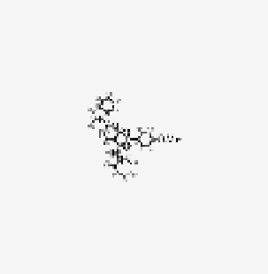 COc1ccc(COc2nc(N3c4ccccc4CC3C)ncc2C(=O)NN2CCCCCC2=O)cc1